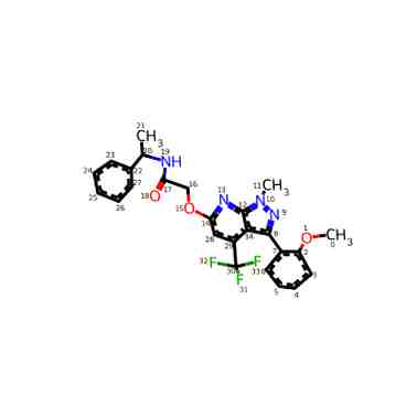 COc1ccccc1-c1nn(C)c2nc(OCC(=O)NC(C)c3ccccc3)cc(C(F)(F)F)c12